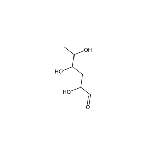 CC(O)C(O)CC(O)C=O